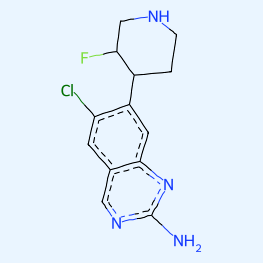 Nc1ncc2cc(Cl)c(C3CCNCC3F)cc2n1